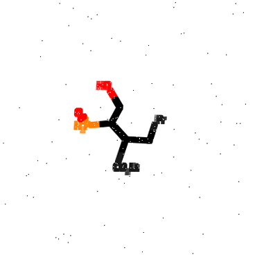 CCOC(=O)C(CC(C)C)C(CO)[PH2]=O